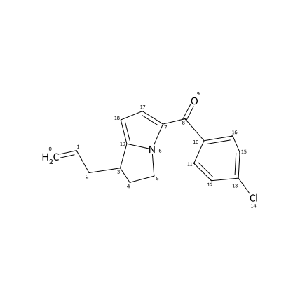 C=CCC1CCn2c(C(=O)c3ccc(Cl)cc3)ccc21